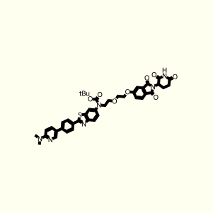 CN(C)c1ccc(-c2ccc(-c3nc4ccc(N(CCOCCOc5ccc6c(c5)C(=O)N(C5CCC(=O)NC5=O)C6=O)C(=O)OC(C)(C)C)cc4s3)cc2)cn1